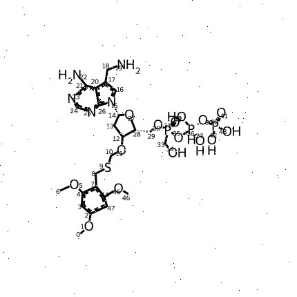 COc1cc(OC)c(CSCOC2C[C@H](n3cc(CN)c4c(N)ncnc43)O[C@@H]2COP(=O)(CO)O[PH](O)(O)OP(=O)(O)O)c(OC)c1